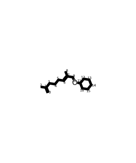 C=C(C)CCCC=C(C)COC1CCCCC1